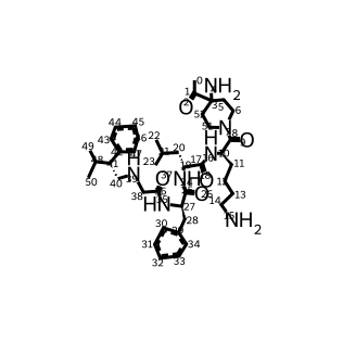 CC(=O)C1(N)CCN(C(=O)[C@@H](CCCCN)NC(=O)[C@@H](CC(C)C)NC(=O)[C@@H](Cc2ccccc2)NC(=O)CNC[C@@H](c2ccccc2)C(C)C)CC1